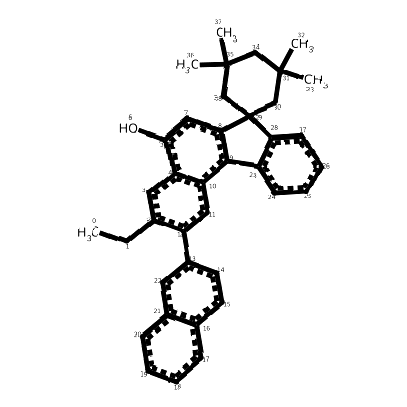 CCc1cc2c(O)cc3c(c2cc1-c1ccc2ccccc2c1)-c1ccccc1C31CC(C)(C)CC(C)(C)C1